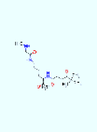 CNCC(=O)NCCCCC(NC(=O)CCC(=O)C(C)(C)C)C(C)=O